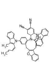 C=C/C=C\c1c(C)c2ccccc2n1-c1ccc2c(c1)Cc1oc3ccccc3c1/C=C\C(=C)N2C1CC(C#N)=C(C#N)C=C1n1c2ccccc2c2ccccc21